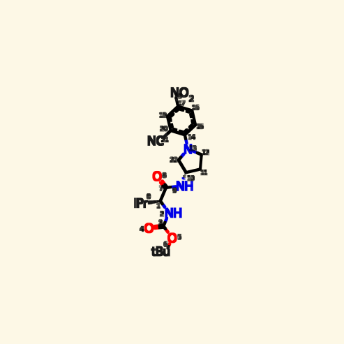 CC(C)[C@H](NC(=O)OC(C)(C)C)C(=O)N[C@H]1CCN(c2ccc([N+](=O)[O-])cc2C#N)C1